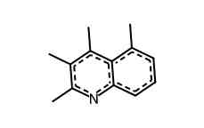 Cc1nc2cccc(C)c2c(C)c1C